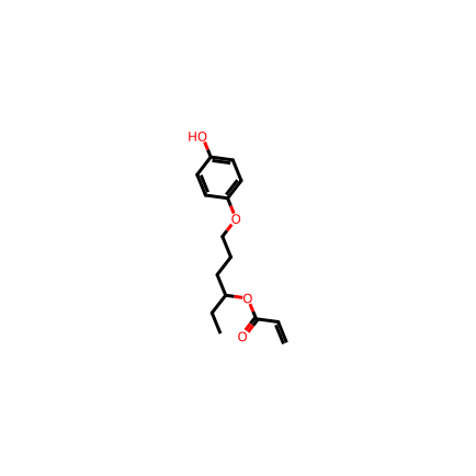 C=CC(=O)OC(CC)CCCOc1ccc(O)cc1